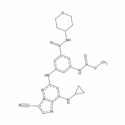 COC(=O)Nc1cc(Nc2cc(NC3CC3)c3ncc(C#N)n3n2)cc(C(=O)NC2CCOCC2)c1